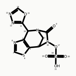 O=C1N2CC(c3scnc3C2c2nnco2)N1OS(=O)(=O)O